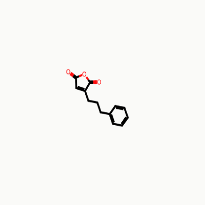 O=C1C=C(CCCc2ccccc2)C(=O)O1